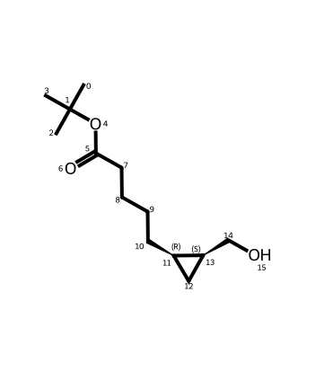 CC(C)(C)OC(=O)CCCC[C@@H]1C[C@@H]1CO